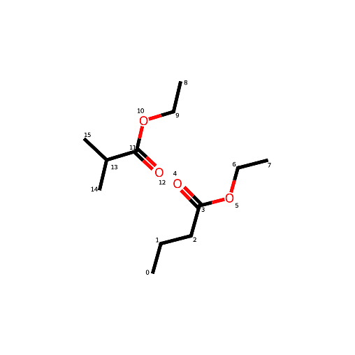 CCCC(=O)OCC.CCOC(=O)C(C)C